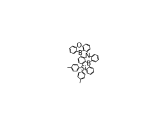 Cc1ccc([Si]2(c3ccc(C)cc3)c3ccccc3B3c4ccccc4N4c5cccc6c5B(c5ccccc5O6)c5ccc2c3c54)cc1